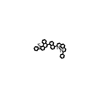 CS1(C)c2ccccc2-c2ccc3cc(-c4cccc5c(-c6ccc7ccc8ccc(-c9ccccc9)nc8c7n6)cccc45)c4ccccc4c3c21